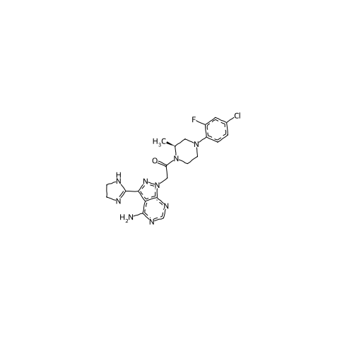 C[C@H]1CN(c2ccc(Cl)cc2F)CCN1C(=O)Cn1nc(C2=NCCN2)c2c(N)ncnc21